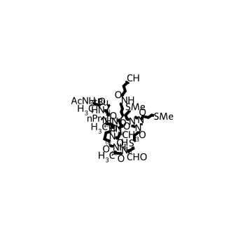 C#CCCC(=O)NCCCC[C@H](NC(=O)[C@H](C)N(CCC)C(=O)[C@H](CC(C)(C)C)NC(=O)[C@H](C)NC(C)=O)C(=O)N[C@H](C)C(=O)N1CCC[C@H]1C(=O)N[C@@H](C)C(=O)N[C@H](C=O)CSCCC(=O)N1CN(C(=O)CCSC)CN(C(=O)CCSC)C1